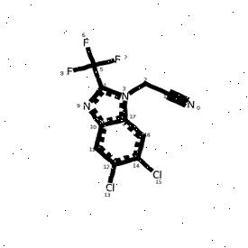 N#CCn1c(C(F)(F)F)nc2cc(Cl)c(Cl)cc21